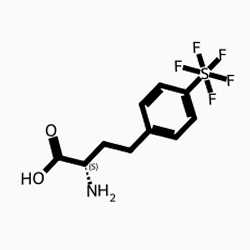 N[C@@H](CCc1ccc(S(F)(F)(F)(F)F)cc1)C(=O)O